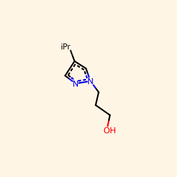 CC(C)c1cnn(CCCO)c1